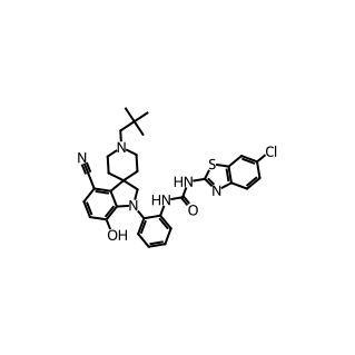 CC(C)(C)CN1CCC2(CC1)CN(c1ccccc1NC(=O)Nc1nc3ccc(Cl)cc3s1)c1c(O)ccc(C#N)c12